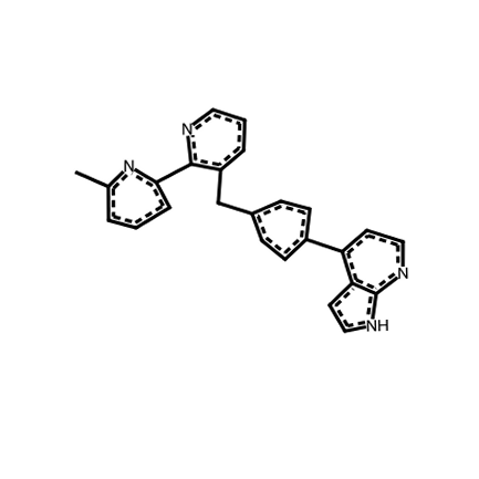 Cc1cccc(-c2ncccc2Cc2ccc(-c3ccnc4[nH]ccc34)cc2)n1